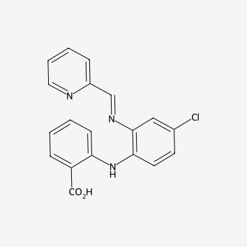 O=C(O)c1ccccc1Nc1ccc(Cl)cc1N=Cc1ccccn1